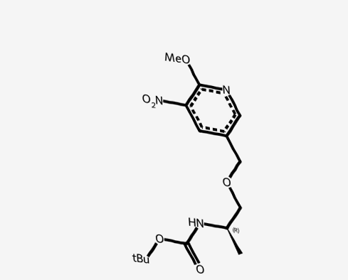 COc1ncc(COC[C@@H](C)NC(=O)OC(C)(C)C)cc1[N+](=O)[O-]